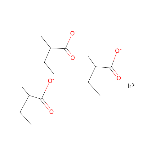 CCC(C)C(=O)[O-].CCC(C)C(=O)[O-].CCC(C)C(=O)[O-].[Ir+3]